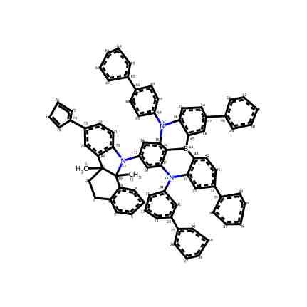 CC12CCc3ccccc3C1(C)N(c1cc3c4c(c1)N(c1cccc(-c5ccccc5)c1)c1cc(-c5ccccc5)ccc1B4c1cc(-c4ccccc4)ccc1N3c1ccc(-c3ccccc3)cc1)c1ccc(C3=C=CC=C3)cc12